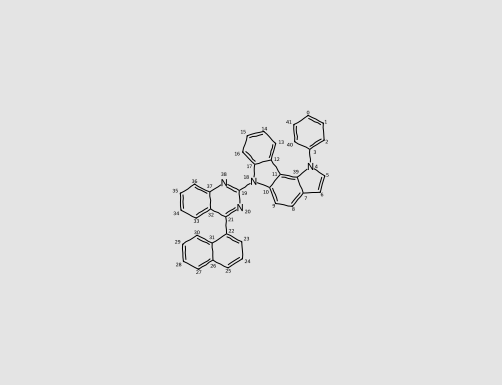 c1ccc(-n2ccc3ccc4c(c5ccccc5n4-c4nc(-c5cccc6ccccc56)c5ccccc5n4)c32)cc1